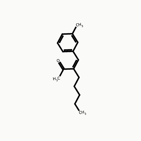 CCCCCC(=Cc1cccc(C)c1)C(C)=O